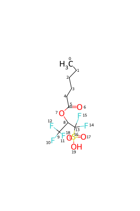 CCCCCC(=O)OC(C(F)(F)F)C(F)(F)S(=O)(=O)O